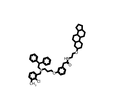 Cc1cccc(CN(CCCOc2cccc(CC(=O)NCCOC3CCC4C(CCC5C6CCCC6CCC45)C3)c2)CC(c2ccccc2)c2ccccc2)c1Cl